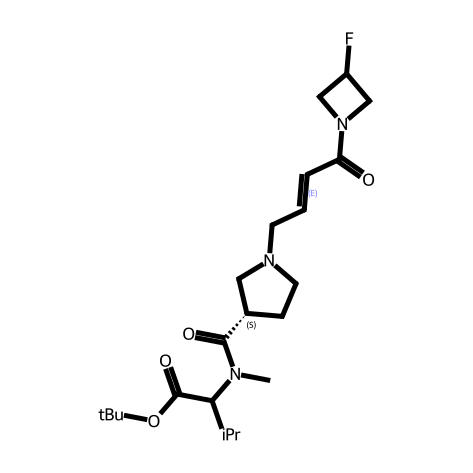 CC(C)C(C(=O)OC(C)(C)C)N(C)C(=O)[C@H]1CCN(C/C=C/C(=O)N2CC(F)C2)C1